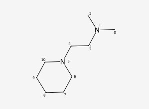 CN(C)[CH]CN1CCCCC1